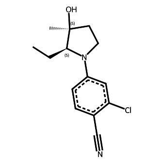 CC[C@@H]1N(c2ccc(C#N)c(Cl)c2)CC[C@]1(C)O